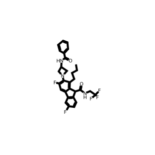 CCCCc1c2c(cc(F)c1N1CC(NC(=O)c3ccccc3)C1)-c1cc(F)ccc1C2C(=O)NCC(F)(F)F